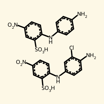 Nc1ccc(Nc2ccc([N+](=O)[O-])cc2S(=O)(=O)O)cc1.Nc1ccc(Nc2ccc([N+](=O)[O-])cc2S(=O)(=O)O)cc1Cl